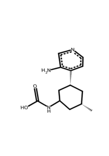 C[C@@H]1CC(NC(=O)O)C[C@H](c2ccncc2N)C1